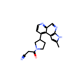 Cc1cc2c(ncc3nccc(C4CCN(C(=O)CC#N)C4)c32)[nH]1